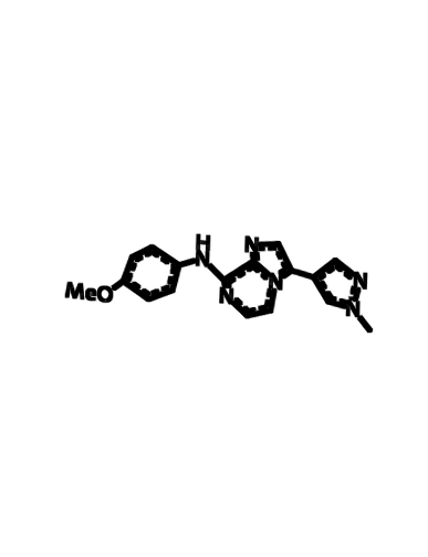 COc1ccc(Nc2nccn3c(-c4cnn(C)c4)cnc23)cc1